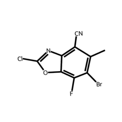 Cc1c(Br)c(F)c2oc(Cl)nc2c1C#N